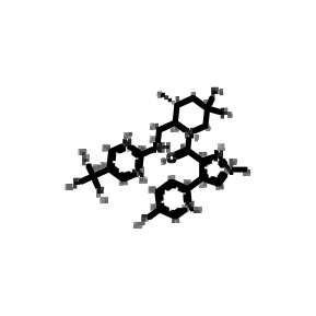 C[C@@H]1CC(F)(F)CN(C(=O)c2nn(C)cc2-c2ccc(F)cn2)C1CNc1ncc(C(F)(F)F)cn1